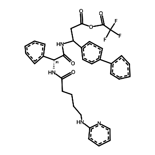 O=C(CCCCNc1ccccn1)N[C@@H](C(=O)NC(CC(=O)OC(=O)C(F)(F)F)c1ccc(-c2ccccc2)cc1)c1ccccc1